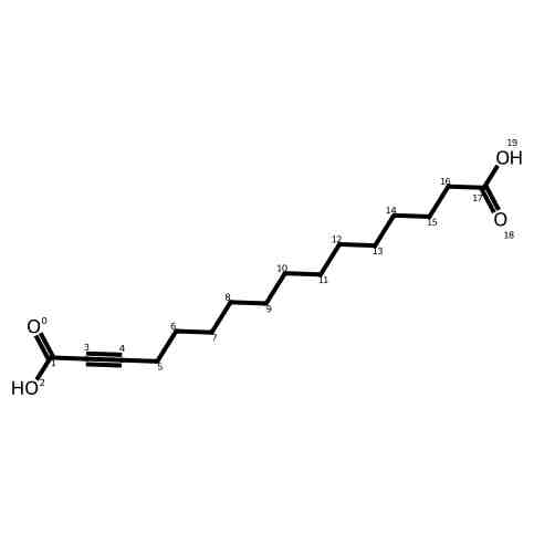 O=C(O)C#CCCCCCCCCCCCCC(=O)O